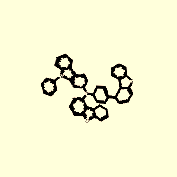 C1=CC(C2=CCC(N(c3ccc4c5ccccc5n(-c5ccccc5)c4c3)c3cccc4oc5c(c34)CCC=C5)C=C2)C2C(=C1)Sc1ccccc12